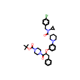 CC(C)(C)OC(=O)N1CCN(C(=O)C(Cc2ccccc2)Oc2cccc(N3CCC[C@@H](C(=O)N(Cc4ccc(Br)cc4)C4CC4)C3)c2)CC1